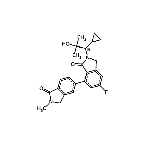 CN1Cc2cc(-c3cc(F)cc4c3C(=O)N([C@H](C3CC3)C(C)(C)O)C4)ccc2C1=O